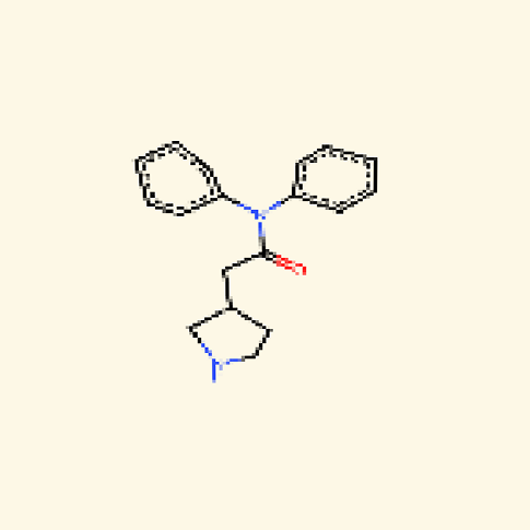 O=C(CC1CCNC1)N(c1ccccc1)c1ccccc1